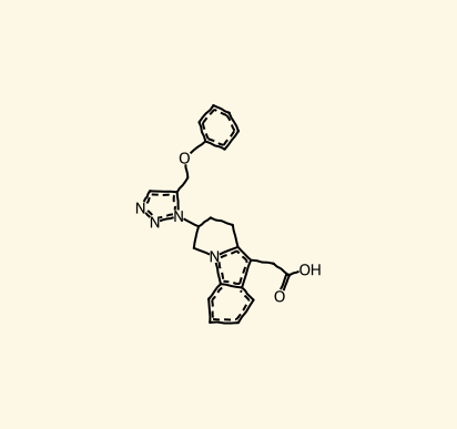 O=C(O)Cc1c2n(c3ccccc13)CC(n1nncc1COc1ccccc1)CC2